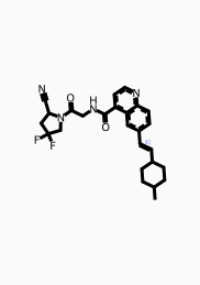 CC1CCC(/C=C/c2ccc3nccc(C(=O)NCC(=O)N4CC(F)(F)CC4C#N)c3c2)CC1